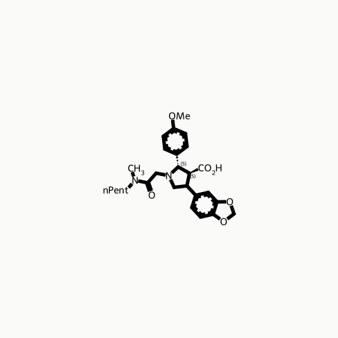 CCCCCN(C)C(=O)CN1CC(c2ccc3c(c2)OCO3)[C@H](C(=O)O)[C@H]1c1ccc(OC)cc1